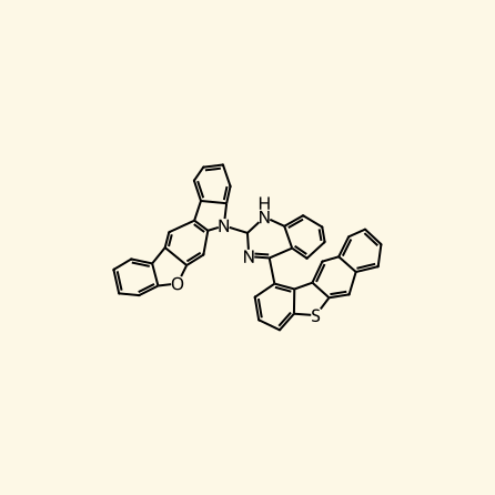 c1ccc2c(c1)NC(n1c3ccccc3c3cc4c(cc31)oc1ccccc14)N=C2c1cccc2sc3cc4ccccc4cc3c12